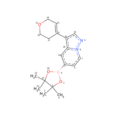 CC1(C)OB(c2ccn3ncc(C4=CCOCC4)c3c2)OC1(C)C